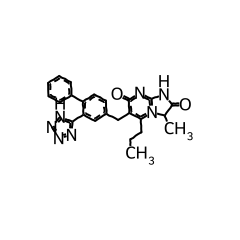 CCCc1c(Cc2ccc(-c3ccccc3)c(-c3nnn[nH]3)c2)c(=O)nc2n1C(C)C(=O)N2